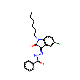 CCCCCCN1C(=O)C(=NNC(=O)c2ccccc2)c2cc(Cl)ccc21